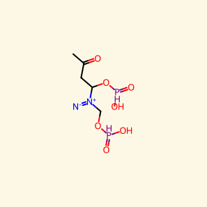 CC(=O)CC(O[PH](=O)O)[N+](=[N-])CO[PH](=O)O